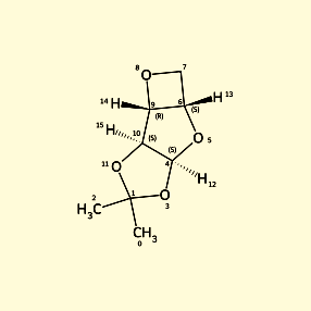 CC1(C)O[C@@H]2O[C@H]3CO[C@H]3[C@@H]2O1